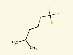 CC(C)CCCC(F)(F)F